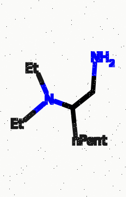 CCCCCC(CN)N(CC)CC